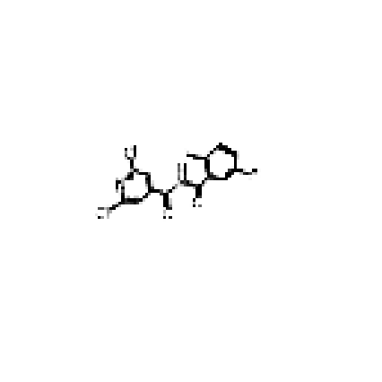 O=C(NC(=O)c1cc(F)ccc1F)c1cc(Cl)nc(Cl)c1